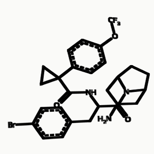 NC1CC2CCC(C1)N2C(=O)C(Cc1ccc(Br)cc1)NC(=O)C1(c2ccc(OC(F)(F)F)cc2)CC1